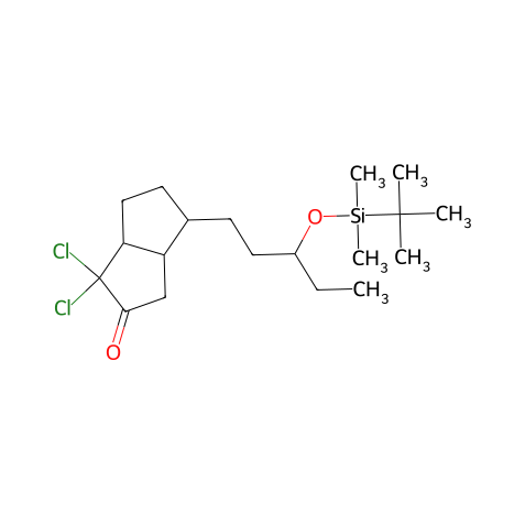 CCC(CCC1CCC2C1CC(=O)C2(Cl)Cl)O[Si](C)(C)C(C)(C)C